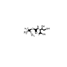 CC(C)(C)OC(=O)N[C@@H](C(=O)O)[C@@H](O)CO